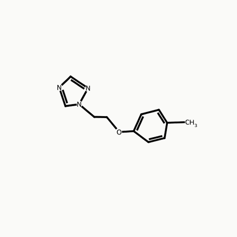 Cc1ccc(OCCn2cncn2)cc1